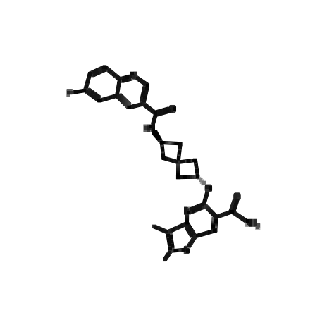 Cc1sc2cc(C(N)=O)c(O[C@H]3CC4(C[C@H](NC(=O)c5cnc6ccc(F)cc6c5)C4)C3)nc2c1C